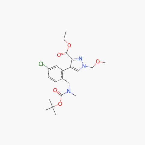 CCOC(=O)c1nn(COC)cc1-c1cc(Cl)ccc1CN(C)C(=O)OC(C)(C)C